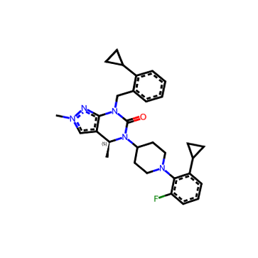 C[C@H]1c2cn(C)nc2N(Cc2ccccc2C2CC2)C(=O)N1C1CCN(c2c(F)cccc2C2CC2)CC1